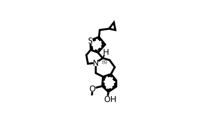 COc1c(O)ccc2c1CN1CCc3sc(CC4CC4)cc3[C@@H]1CC2